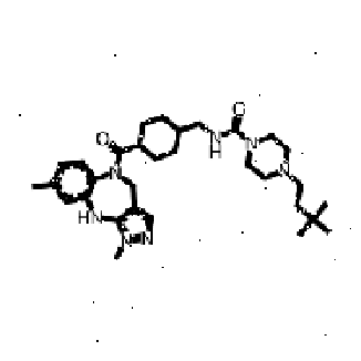 Cc1ccc2c(c1)Nc1c(cnn1C)CN2C(=O)C1CCC(CNC(=O)N2CCN(CCC(C)(C)C)CC2)CC1